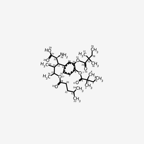 CCC(C)(C)C(=O)Oc1ccc(C(C(C)C(C)OC(=O)CCC(C)C)[C@H](N)C(=O)O)cc1OC(=O)C(C)(C)CC